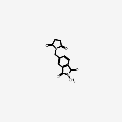 CN1C(=O)c2ccc(CN3C(=O)CCC3=O)cc2C1=O